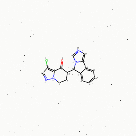 O=C1c2c(Cl)cnn2CCC1C1c2ccccc2-c2cncn21